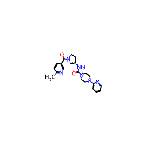 Cc1ccc(C(=O)N2CC[C@@H](NC(=O)N3CCN(c4ccccn4)CC3)C2)cn1